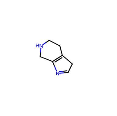 C1=NC2=C(C1)CCNC2